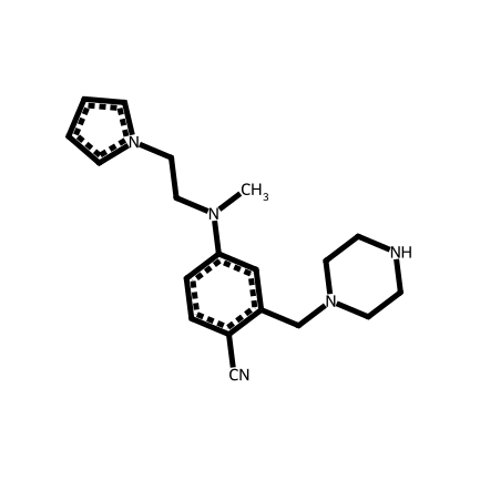 CN(CCn1cccc1)c1ccc(C#N)c(CN2CCNCC2)c1